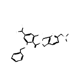 CN(C)Cc1ccc2c(n1)CN(C(=O)c1c(O)cc(C(F)F)cc1OCc1ccccc1)C2